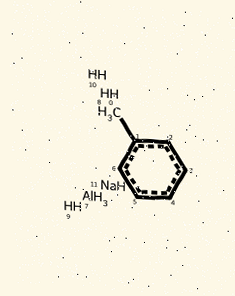 Cc1ccccc1.[AlH3].[HH].[HH].[HH].[NaH]